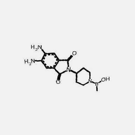 CB(O)N1CCC(N2C(=O)c3cc(N)c(N)cc3C2=O)CC1